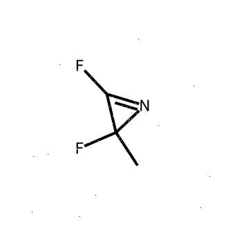 CC1(F)N=C1F